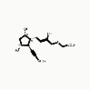 CCCCCCC#C[C@@H]1[C@@H](CC=C(O)CSCC(=O)O)[C@@H](O)C[C@H]1O